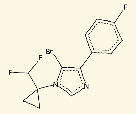 Fc1ccc(-c2ncn(C3(C(F)F)CC3)c2Br)cc1